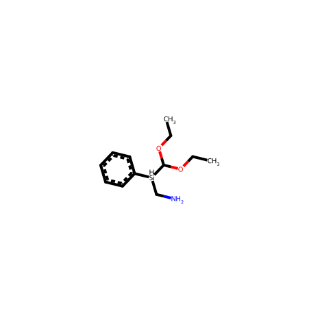 CCOC(OCC)[SiH](CN)c1ccccc1